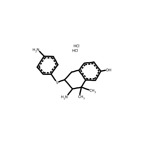 CC1(C)c2cc(O)ccc2CC(Sc2ccc(N)cc2)C1N.Cl.Cl